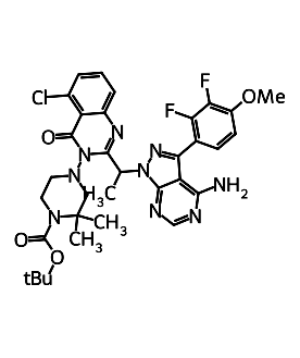 COc1ccc(-c2nn(C(C)c3nc4cccc(Cl)c4c(=O)n3N3CCN(C(=O)OC(C)(C)C)C(C)(C)C3)c3ncnc(N)c23)c(F)c1F